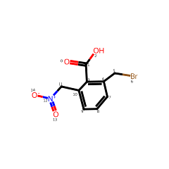 O=C(O)c1c(CBr)cccc1C[N+](=O)[O-]